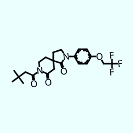 CC(C)(C)CC(=O)N1CCC2(CCN(c3ccc(OCC(F)(F)F)cc3)C2=O)CC1=O